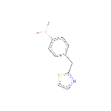 CB(C)c1ccc(Cc2nccs2)cc1